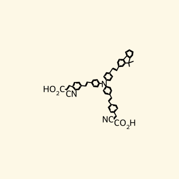 CC1(C)c2ccccc2-c2ccc(/C=C/c3ccc(N(c4ccc(/C=C/c5ccc(/C=C(\C#N)C(=O)O)cc5)cc4)c4ccc(/C=C/c5ccc(/C=C(\C#N)C(=O)O)cc5)cc4)cc3)cc21